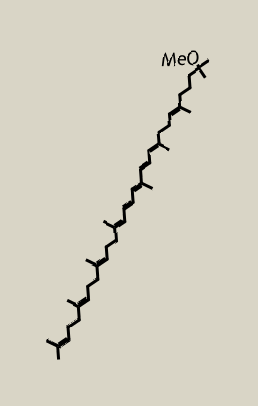 COC(C)(C)CCC/C(C)=C/CC/C(C)=C/C=C/C(C)=C/C=C/C=C(\C)CC/C=C(\C)CC/C=C(\C)CCC=C(C)C